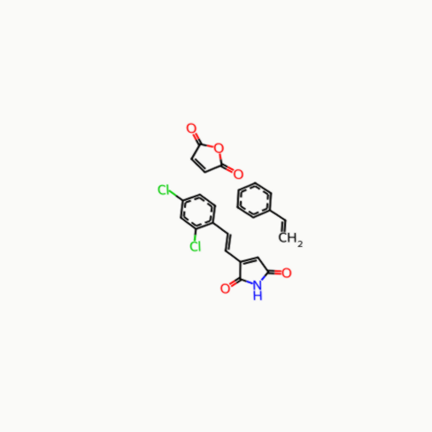 C=Cc1ccccc1.O=C1C=C(C=Cc2ccc(Cl)cc2Cl)C(=O)N1.O=C1C=CC(=O)O1